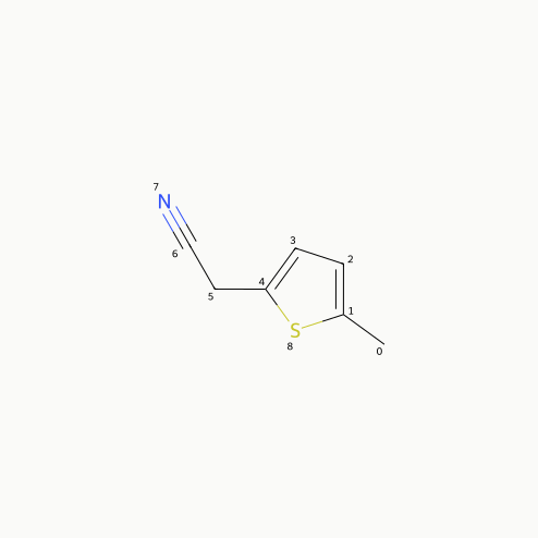 Cc1ccc(CC#N)s1